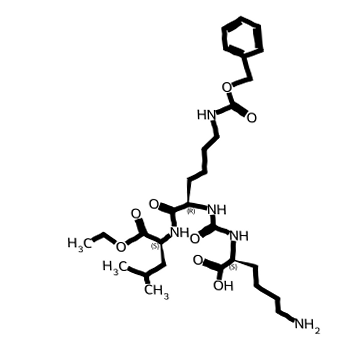 CCOC(=O)[C@H](CC(C)C)NC(=O)[C@@H](CCCCNC(=O)OCc1ccccc1)NC(=O)N[C@@H](CCCCN)C(=O)O